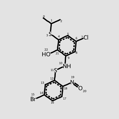 CC(C)Sc1cc(Cl)cc(NSc2cc(Br)ccc2N=O)c1O